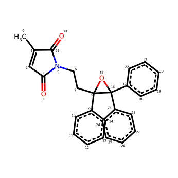 CC1=CC(=O)N(CCC2(c3ccccc3)OC2(c2ccccc2)c2ccccc2)C1=O